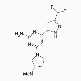 CNC1CCN(c2cc(-c3cc(C(F)F)n[nH]3)nc(N)n2)C1